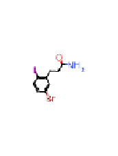 NC(=O)CCc1cc(Br)ccc1I